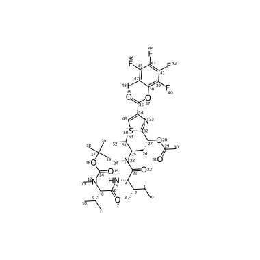 CC[C@H](C)[C@H](NC(=O)[C@H](C(C)C)N(C)C(=O)OC(C)(C)C)C(=O)N(C)[C@H](C[C@@H](OC(C)=O)c1nc(C(=O)Oc2c(F)c(F)c(F)c(F)c2F)cs1)C(C)C